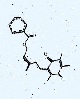 CC(=CCOC(=O)c1ccccc1)CCC1=C(C)C(=O)C(C)=C(C)C1=O